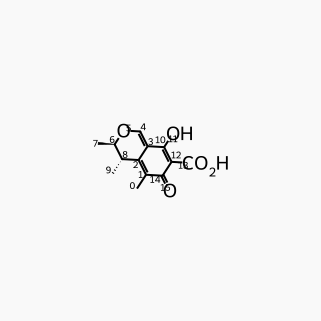 CC1=C2C(=CO[C@H](C)[C@H]2C)C(O)=C(C(=O)O)C1=O